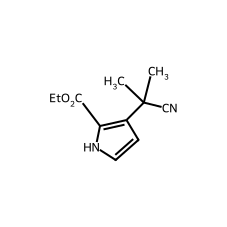 CCOC(=O)c1[nH]ccc1C(C)(C)C#N